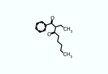 CCCCCC(=O)C(CC)C(=O)c1ccccc1